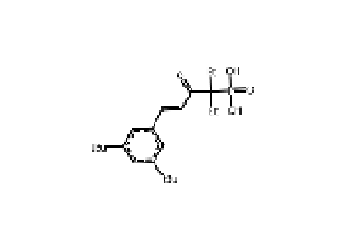 CCC(CC)(C(=O)C=Cc1cc(C(C)(C)C)cc(C(C)(C)C)c1)P(=O)(O)O